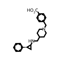 O=C(O)c1ccc(CN2CCC(CNC3C[C@H]3c3ccccc3)CC2)cc1